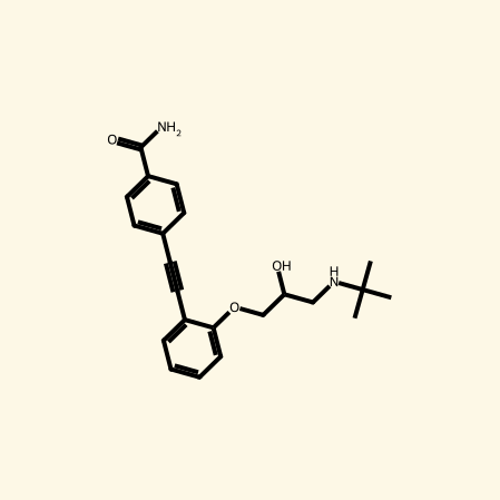 CC(C)(C)NCC(O)COc1ccccc1C#Cc1ccc(C(N)=O)cc1